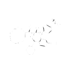 Cc1ccc2c(c1)N(c1ccc([N+](=O)[O-])cc1)C(=O)N(C(=O)C1CCCCCCCCCC1)N=C2C1CCCCC1